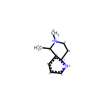 CC1c2cccnc2CCN1C